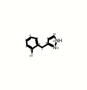 Ic1ccccc1Cc1cc[nH]n1